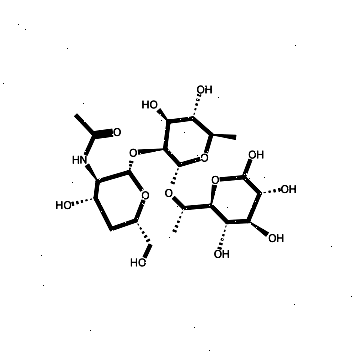 CC(=O)N[C@H]1[C@H](O[C@@H]2[C@@H](O[C@@H](C)[C@H]3OC(O)[C@H](O)[C@@H](O)[C@@H]3O)O[C@H](C)[C@@H](O)[C@@H]2O)O[C@H](CO)C[C@@H]1O